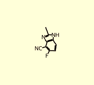 Cc1nc2c(C#N)c(F)ccc2[nH]1